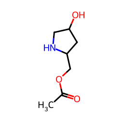 CC(=O)OCC1CC(O)CN1